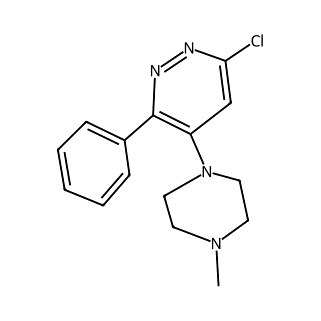 CN1CCN(c2cc(Cl)nnc2-c2ccccc2)CC1